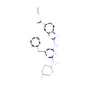 CCOC(=O)c1ccc2nc(Nc3cc(Cc4ccccc4)nc(NC4CCC(O)CC4)n3)sc2c1